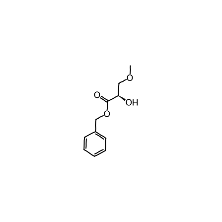 COC[C@@H](O)C(=O)OCc1ccccc1